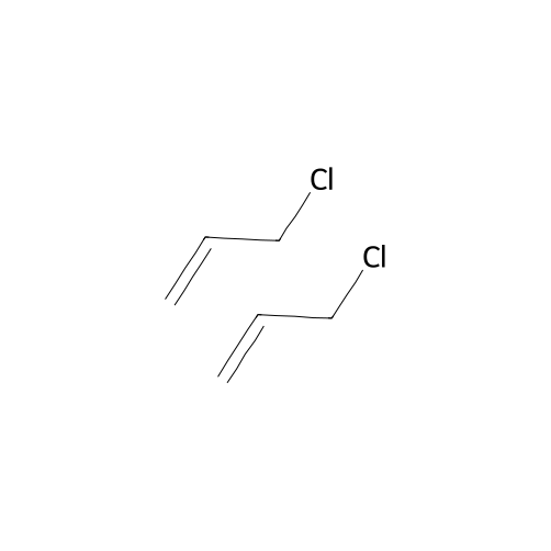 C=CCCl.C=CCCl